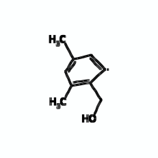 Cc1c[c]c(CO)c(C)c1